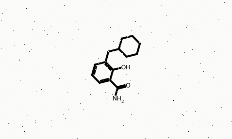 NC(=O)c1cccc(CC2CCCCC2)c1O